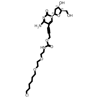 Nc1nc(=O)n([C@H]2C[C@H](O)[C@@H](CO)O2)cc1C#CCOC(=O)NCCOCCOCCCCCCCl